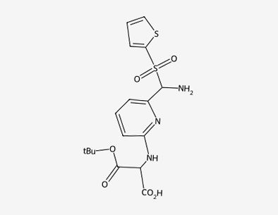 CC(C)(C)OC(=O)C(Nc1cccc(C(N)S(=O)(=O)c2cccs2)n1)C(=O)O